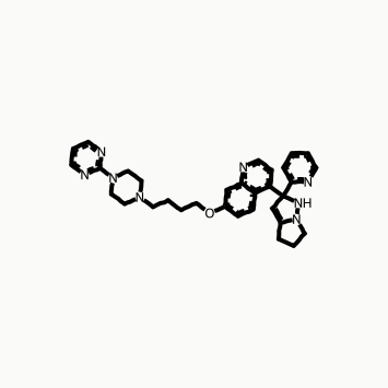 C1=C2CCCN2NC1(c1ccccn1)c1ccnc2cc(OCCCCN3CCN(c4ncccn4)CC3)ccc12